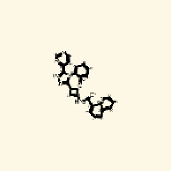 O=C(NC1CC(c2nnc(-c3ccncn3)n2-c2ccccc2Cl)C1)c1cccc2cccnc12